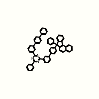 c1ccc(-c2ccc(-c3cccc(-c4nc(-c5ccccc5)nc(-c5cccc(-c6ccc(C7(c8ccccc8)c8ccccc8-c8c7ccc7ccccc87)cc6)c5)n4)c3)cc2)cc1